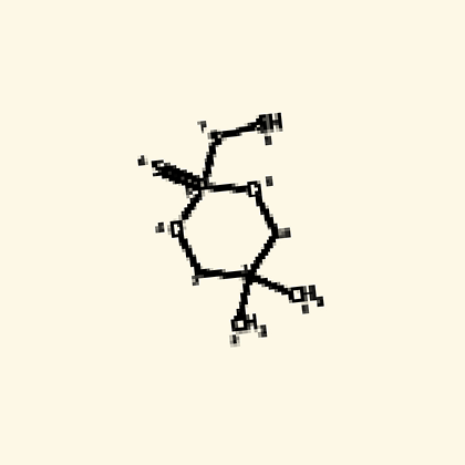 CC1(C)COP(=S)(SS)OC1